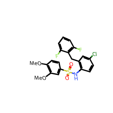 COc1ccc(S(=O)(=O)Nc2ccc(Cl)cc2Cc2c(F)cccc2F)cc1OC